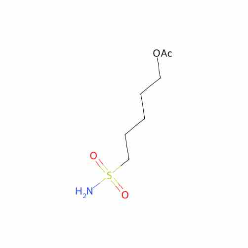 CC(=O)OCCCCCS(N)(=O)=O